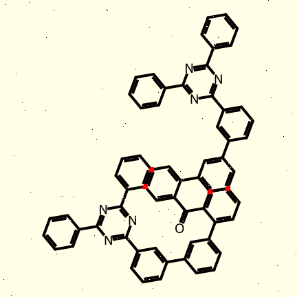 O=C(c1ccccc1-c1cccc(-c2cccc(-c3nc(-c4ccccc4)nc(-c4ccccc4)n3)c2)c1)c1ccccc1-c1cccc(-c2cccc(-c3nc(-c4ccccc4)nc(-c4ccccc4)n3)c2)c1